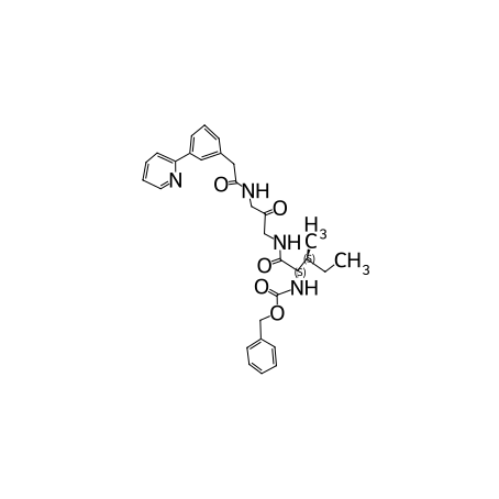 CC[C@H](C)[C@H](NC(=O)OCc1ccccc1)C(=O)NCC(=O)CNC(=O)Cc1cccc(-c2ccccn2)c1